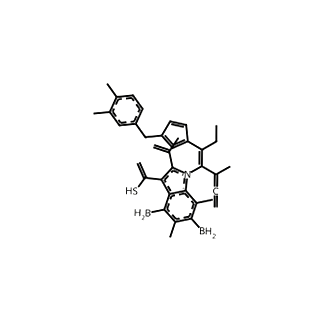 Bc1c(C)c(B)c2c(C(=C)S)c(C(=C)C)n(/C(C(C)=C=C)=C(/CC)C3=C=C(Cc4ccc(C)c(C)c4)C=C3)c2c1C